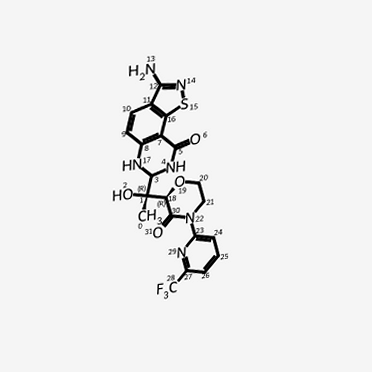 C[C@@](O)(C1NC(=O)c2c(ccc3c(N)nsc23)N1)[C@H]1OCCN(c2cccc(C(F)(F)F)n2)C1=O